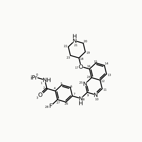 CC(C)NC(=O)c1ccc(Nc2ncc3cccc(OC4CCNCC4)c3n2)cc1F